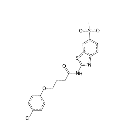 CS(=O)(=O)c1ccc2nc(NC(=O)CCCOc3ccc(Cl)cc3)sc2c1